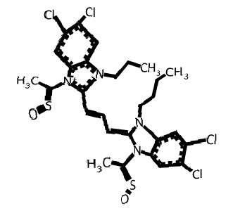 CCCCN1C(=CC=Cc2n(CCC)c3cc(Cl)c(Cl)cc3[n+]2C(C)=S=O)N(C(C)=S=O)c2cc(Cl)c(Cl)cc21